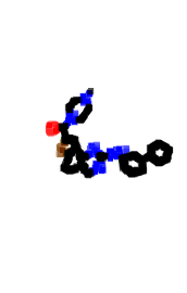 CN1CCN(C(=O)c2cc3c(ccc4cnc(Nc5cccc(-c6ccccc6)c5)nc43)s2)CC1